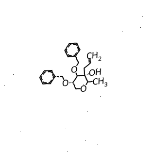 C=CC[C@@]1(O)C(C)OC[C@H](OCc2ccccc2)C1OCc1ccccc1